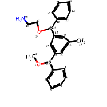 COB(c1ccccc1)c1cc(C)cc(B(OCCN)c2ccccc2)c1